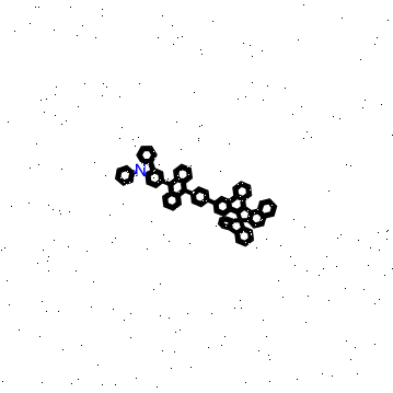 c1ccc(-n2c3ccccc3c3cc(-c4c5ccccc5c(-c5ccc(-c6ccc7c8c(c9ccccc9c7c6)-c6c(ccc7ccccc67)C86c7ccccc7-c7ccccc76)cc5)c5ccccc45)ccc32)cc1